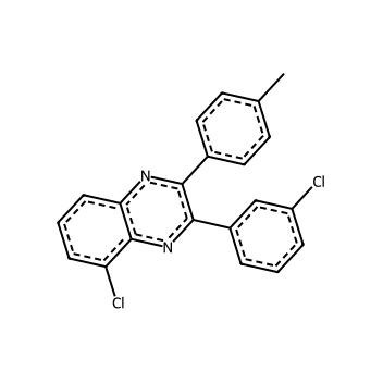 Cc1ccc(-c2nc3cccc(Cl)c3nc2-c2cccc(Cl)c2)cc1